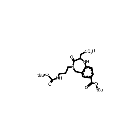 CC(C)(C)OC(=O)NCCCN1Cc2cc(C(=O)OC(C)(C)C)ccc2NC(CC(=O)O)C1=O